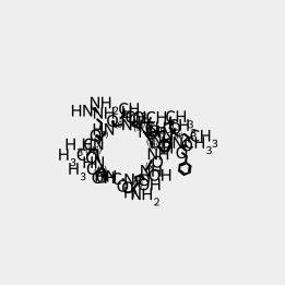 CC[C@H](C)[C@@H]1NC(=O)[C@@H](CCCNC(=N)N)NC(=O)[C@H](CC(C)C)NC(=O)[C@H]([C@H](O)C(C)C)NC(=O)[C@@H](NC(=O)[C@H](CC(C)C)NC(=O)[C@@H](CC(C)C)NC(=O)OCc2ccccc2)[C@@H](c2ccccc2)NC(=O)[C@H](CO)NC(=O)[C@H]([C@H](O)C(N)=O)NC(=O)CNC(=O)[C@H]([C@H](C)O)NC1=O